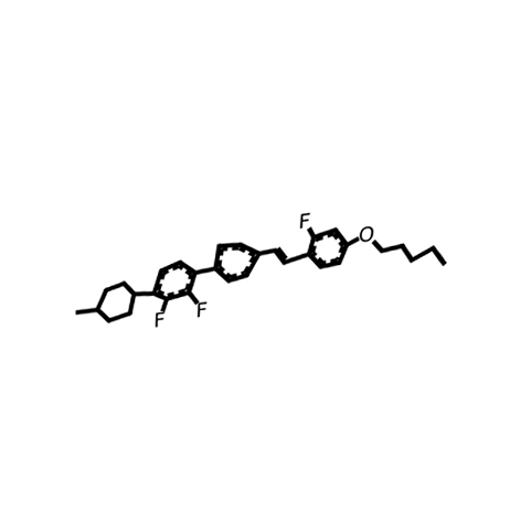 CCCCCOc1ccc(/C=C/c2ccc(-c3ccc(C4CCC(C)CC4)c(F)c3F)cc2)c(F)c1